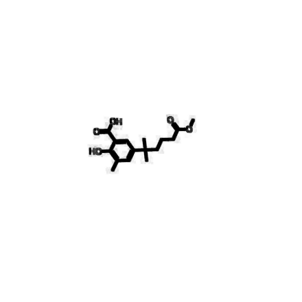 COC(=O)CCCC(C)(C)c1cc(C)c(O)c(C(=O)O)c1